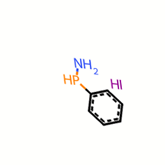 I.NPc1ccccc1